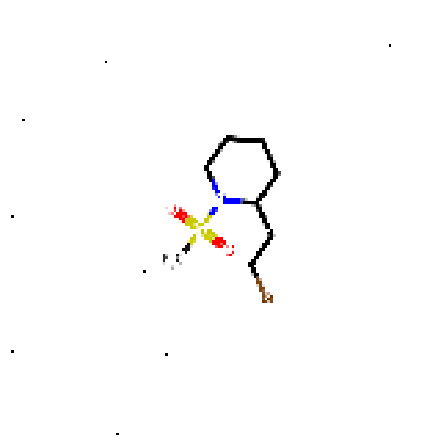 O=S(=O)(N1CCCCC1CCBr)C(F)(F)F